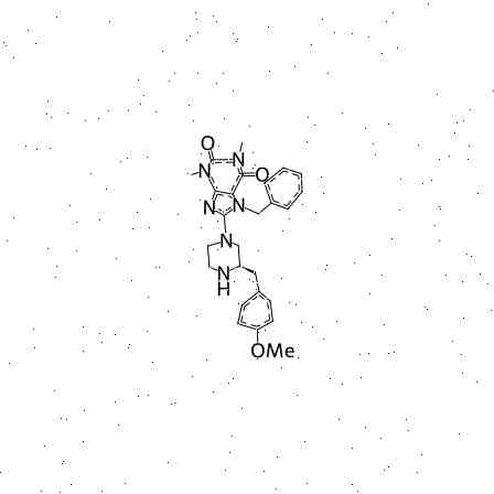 COc1ccc(C[C@@H]2CN(c3nc4c(c(=O)n(C)c(=O)n4C)n3Cc3ccccc3)CCN2)cc1